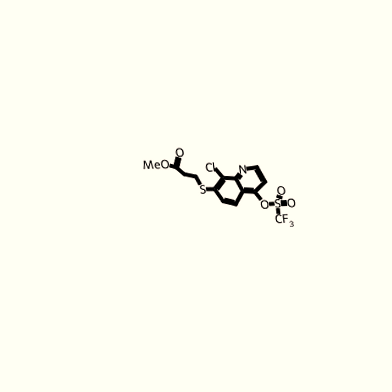 COC(=O)CCSc1ccc2c(OS(=O)(=O)C(F)(F)F)ccnc2c1Cl